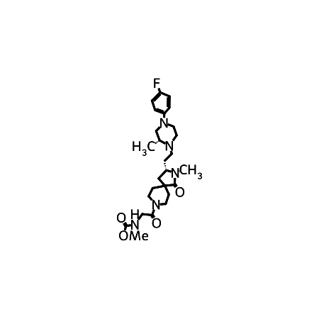 COC(=O)NCC(=O)N1CCC2(CC1)C[C@H](CCN1CCN(c3ccc(F)cc3)C[C@H]1C)N(C)C2=O